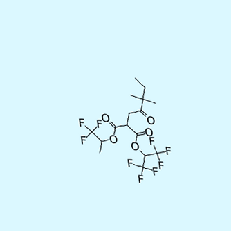 CCC(C)(C)C(=O)CC(C(=O)OC(C)C(F)(F)F)C(=O)OC(C(F)(F)F)C(F)(F)F